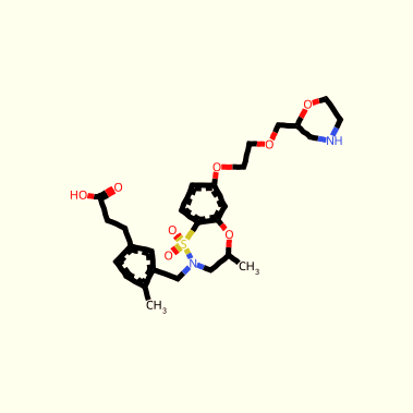 Cc1ccc(CCC(=O)O)cc1CN1CC(C)Oc2cc(OCCOCC3CNCCO3)ccc2S1(=O)=O